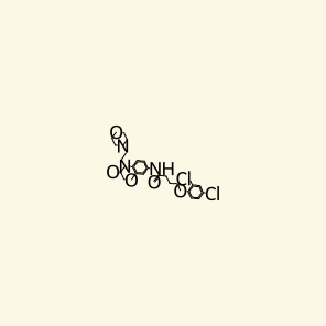 O=C(CCCOc1ccc(Cl)cc1Cl)Nc1ccc2c(c1)OCC(=O)N2CCN1CCOCC1